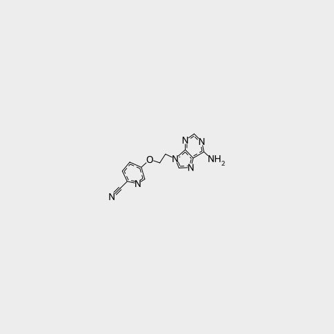 N#Cc1ccc(OCCn2cnc3c(N)ncnc32)cn1